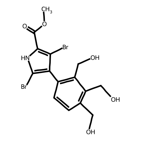 COC(=O)c1[nH]c(Br)c(-c2ccc(CO)c(CO)c2CO)c1Br